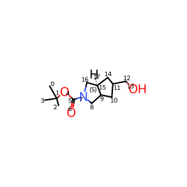 CC(C)(C)OC(=O)N1CC2CC(CO)C[C@@H]2C1